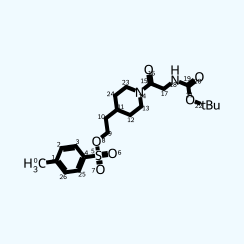 Cc1ccc(S(=O)(=O)OCCC2CCN(C(=O)CNC(=O)OC(C)(C)C)CC2)cc1